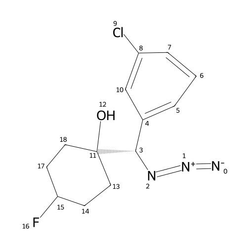 [N-]=[N+]=N[C@@H](c1cccc(Cl)c1)C1(O)CCC(F)CC1